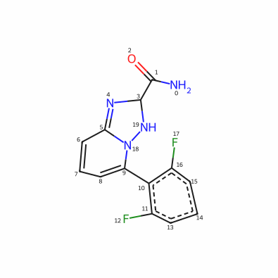 NC(=O)C1N=C2C=CC=C(c3c(F)cccc3F)N2N1